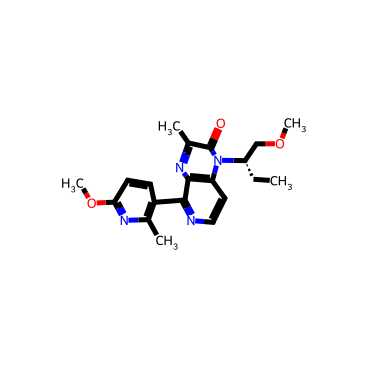 CC[C@@H](COC)n1c(=O)c(C)nc2c(-c3ccc(OC)nc3C)nccc21